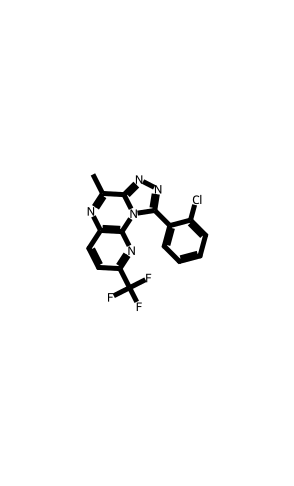 Cc1nc2ccc(C(F)(F)F)nc2n2c(-c3ccccc3Cl)nnc12